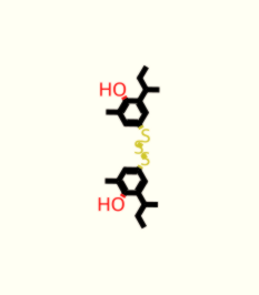 CCC(C)c1cc(SSSc2cc(C)c(O)c(C(C)CC)c2)cc(C)c1O